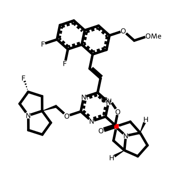 COCOc1cc(/C=C/c2nc(OC[C@@]34CCCN3C[C@H](F)C4)nc(N3C[C@H]4CC[C@@H](C3)N4C(=O)OC(C)(C)C)n2)c2c(F)c(F)ccc2c1